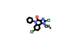 Cn1c(Cl)nc2c(=O)n(-c3ccccc3)c3cc(Cl)ccc3c21